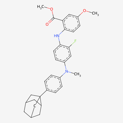 COC(=O)c1cc(OC)ccc1Nc1ccc(N(C)c2ccc(C34CC5CC(CC3C5)C4)cc2)cc1F